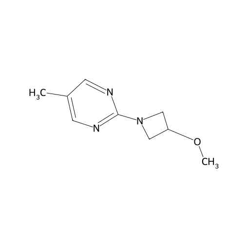 COC1CN(c2ncc(C)cn2)C1